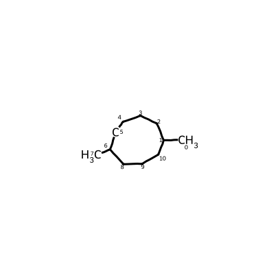 CC1CCCCC(C)CCC1